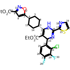 CCOC(=O)C1=C([C@H]2CC[C@H](c3cc(C(=O)OCC)no3)CC2)NC(c2nccs2)=NC1c1ccc(F)c(F)c1Cl